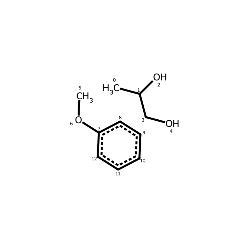 CC(O)CO.COc1ccccc1